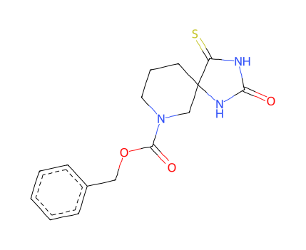 O=C1NC(=S)C2(CCCN(C(=O)OCc3ccccc3)C2)N1